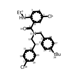 CCNc1ccc(Cl)cc1C(=O)N(CCc1ccc(Cl)cc1)Cc1ccc(C(C)(C)C)cc1